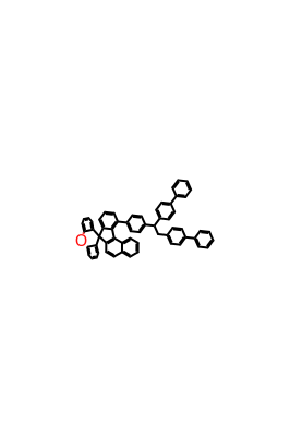 c1ccc(-c2ccc(CC(c3ccc(-c4ccccc4)cc3)c3ccc(-c4cccc5c4-c4c(ccc6ccccc46)C54c5ccccc5Oc5ccccc54)cc3)cc2)cc1